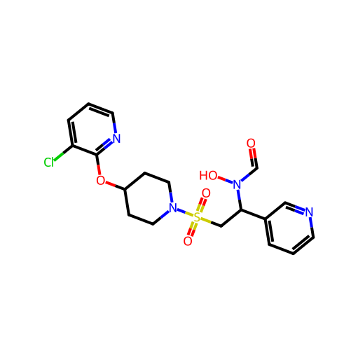 O=CN(O)C(CS(=O)(=O)N1CCC(Oc2ncccc2Cl)CC1)c1cccnc1